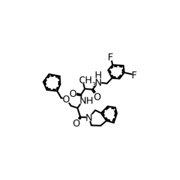 CC(C(=O)NCc1cc(F)cc(F)c1)C(=O)NC(COCc1ccccc1)C(=O)N1CCc2ccccc2C1